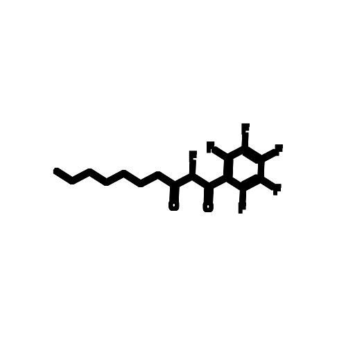 CCCCCCCC(=O)C(F)C(=O)c1c(F)c(F)c(F)c(F)c1F